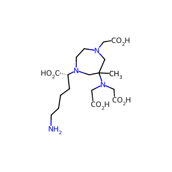 CC1(N(CC(=O)O)CC(=O)O)CN(CC(=O)O)CCN([C@H](CCCCN)C(=O)O)C1